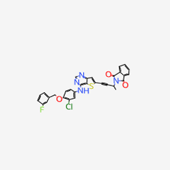 CC(C#Cc1cc2ncnc(Nc3ccc(OCc4cccc(F)c4)c(Cl)c3)c2s1)N1C(=O)c2ccccc2C1=O